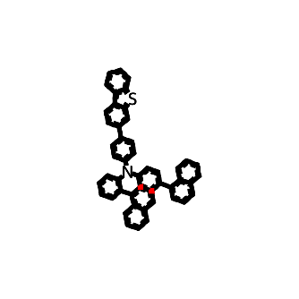 c1ccc(N(c2ccc(-c3ccc4c(c3)sc3ccccc34)cc2)c2ccc(-c3cccc4ccccc34)cc2)c(-c2cccc3ccccc23)c1